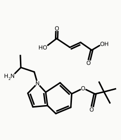 CC(N)Cn1ccc2ccc(OC(=O)C(C)(C)C)cc21.O=C(O)C=CC(=O)O